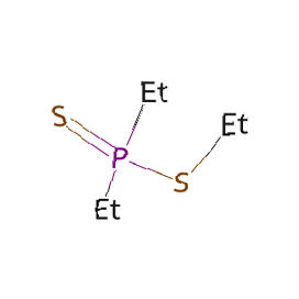 CCSP(=S)(CC)CC